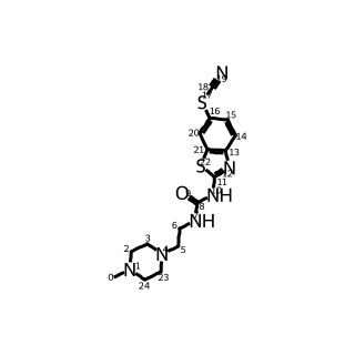 CN1CCN(CCNC(=O)Nc2nc3ccc(SC#N)cc3s2)CC1